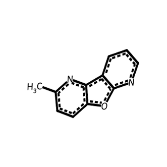 Cc1ccc2oc3ncccc3c2n1